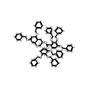 O=C(O[C@@H]1Cc2c(OCc3ccccc3)cc(OCc3ccccc3)cc2O[C@H]1c1cc(OCc2ccccc2)c(OCc2ccccc2)c(OCc2ccccc2)c1)c1ccc(OCc2ccccc2)c(OCc2ccccc2)c1OCc1ccccc1